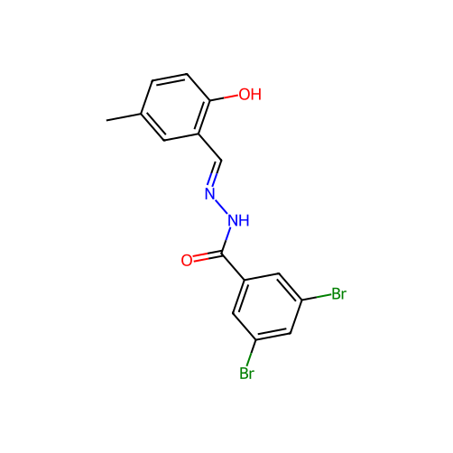 Cc1ccc(O)c(C=NNC(=O)c2cc(Br)cc(Br)c2)c1